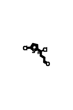 O=CCC[C@H](Cl)c1ccc(Cl)s1